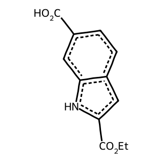 CCOC(=O)c1cc2ccc(C(=O)O)cc2[nH]1